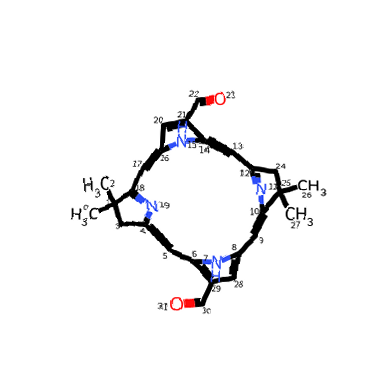 CC1(C)Cc2cc3[nH]c(cc4nc(cc5[nH]c(cc1n2)cc5C=O)CC4(C)C)cc3C=O